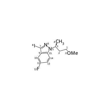 COCC[C@H](C)n1nc(I)c2cc(F)ccc21